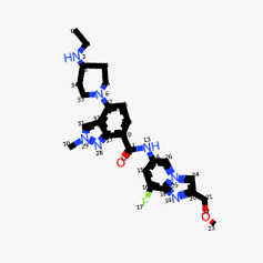 CCNC1CCN(c2ccc(C(=O)Nc3cc(F)c4nc(COC)cn4c3)c3nn(C)cc23)CC1